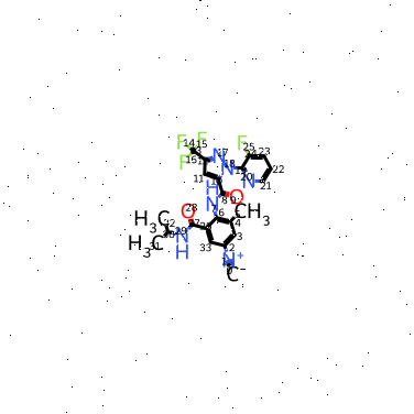 [C-]#[N+]c1cc(C)c(NC(=O)c2cc(C(F)(F)F)nn2-c2ncccc2F)c(C(=O)NC(C)C)c1